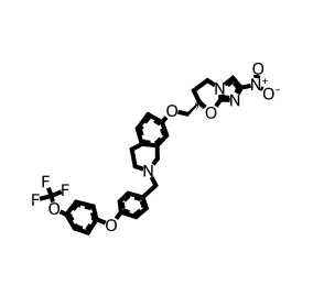 O=[N+]([O-])c1cn2c(n1)O[C@@H](COc1ccc3c(c1)CN(Cc1ccc(Oc4ccc(OC(F)(F)F)cc4)cc1)CC3)CC2